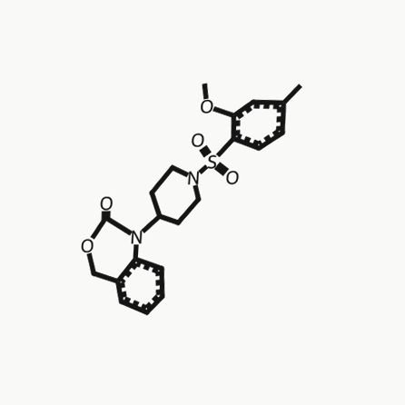 COc1cc(C)ccc1S(=O)(=O)N1CCC(N2C(=O)OCc3ccccc32)CC1